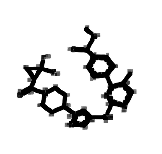 COC(=O)c1ccc(-c2nc(Nc3cnn(C4CCN(C(=O)C5CC5(F)F)CC4)c3)ncc2C)cc1